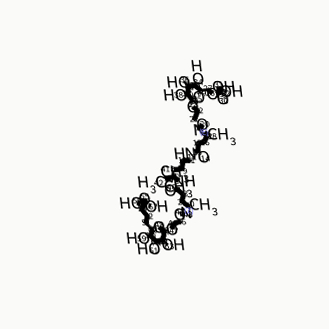 C/C(CCC(=O)N[C@@H](CCCCNC(=O)CC/C(C)=N/OCCO[C@H]1O[C@H](COP(=O)(O)O)[C@@H](O)[C@H](O)[C@@H]1O)C(C)(C)C)=N/OCCO[C@H]1O[C@H](CCCP(=O)(O)O)[C@@H](O)[C@H](O)[C@@H]1O